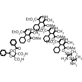 CCOC(=O)C1=CNC(C)=C(C(=O)OC)C1C1CCCCC1.CCOC(=O)C1=CNC(C)=C(C(=O)OC)C1C1CCCCC1.CCOC(=O)C1=CNC(C)=C(C(=O)OC)C1C1CCCCC1.CCOC(=O)C1=CNC(C)=C(C(=O)OC)C1C1CCCCC1.CN=C(N)S.CN=C(N)S.O=C(O[C@H](C(=O)O)[C@H](OC(=O)c1ccccc1)C(=O)O)c1ccccc1